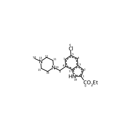 CCOC(=O)c1cc2cc(Cl)cc(CN3CCN(C)CC3)c2[nH]1